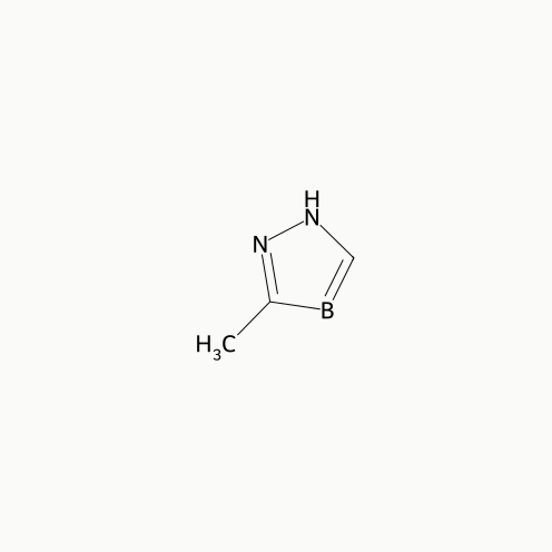 Cc1bc[nH]n1